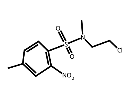 Cc1ccc(S(=O)(=O)N(C)CCCl)c([N+](=O)[O-])c1